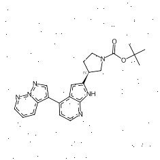 CC(C)(C)OC(=O)N1CC[C@H](c2cc3c(-c4cnn5ncccc45)ccnc3[nH]2)C1